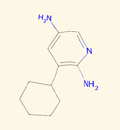 Nc1cnc(N)c(C2CCCCC2)c1